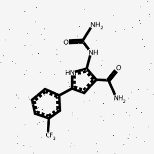 NC(=O)Nc1[nH]c(-c2cccc(C(F)(F)F)c2)cc1C(N)=O